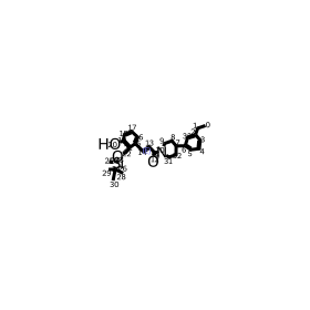 CCc1cccc(C2CCN(C(=O)/C=C/c3cccc(O)c3CO[Si](C)(C)C(C)(C)C)CC2)c1